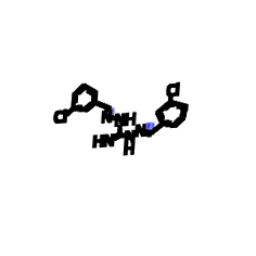 N=C(N/N=C/c1cccc(Cl)c1)N/N=C/c1cccc(Cl)c1